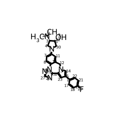 CN(C)[C@H]1CN(c2ccc3c(c2)Cn2cc(-c4ccc(F)cc4)cc2-c2ncnn2-3)C[C@@H]1O